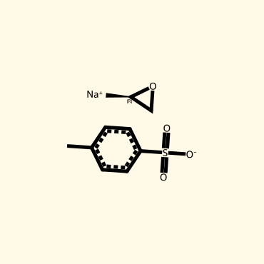 C[C@@H]1CO1.Cc1ccc(S(=O)(=O)[O-])cc1.[Na+]